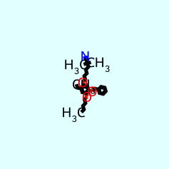 CCCCCOc1cc(CC)c(OCCCCCC(C)(C)C#N)cc1OCc1ccccc1